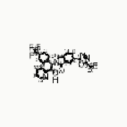 O=C1c2cc(-c3nnc(C(F)F)o3)ccc2CN1[C@H](c1ccc(C(F)(F)F)cc1)[C@@H](O)c1ccccn1